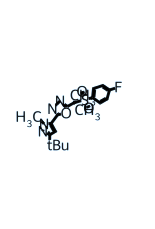 Cn1nc(C(C)(C)C)cc1-c1nnc(C(C)(C)S(=O)(=O)c2ccc(F)cc2)o1